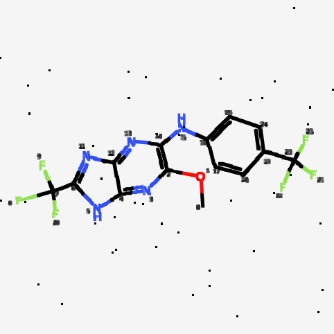 COc1nc2[nH]c(C(F)(F)F)nc2nc1Nc1ccc(C(F)(F)F)cc1